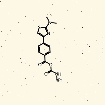 CCCNC(=O)OC(=O)c1ccc(-c2csc(N(C)C)n2)cc1